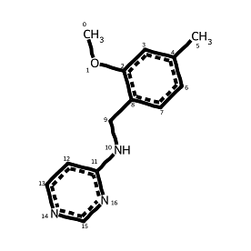 COc1cc(C)ccc1CNc1ccncn1